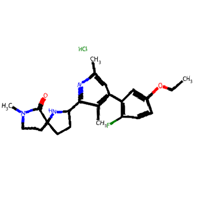 CCOc1ccc(F)c(-c2cc(C)nc(C3CCC4(CCN(C)C4=O)N3)c2C)c1.Cl